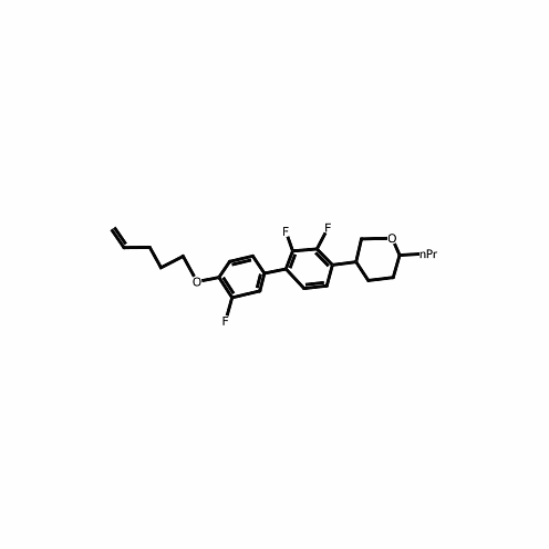 C=CCCCOc1ccc(-c2ccc(C3CCC(CCC)OC3)c(F)c2F)cc1F